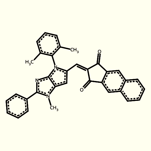 Cc1cccc(C)c1-n1c(C=C2C(=O)c3cc4ccccc4cc3C2=O)cc2c1nc(-c1ccccc1)n2C